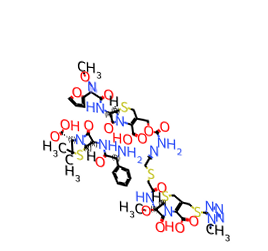 CC1(C)S[C@@H]2[C@H](NC(=O)[C@H](N)c3ccccc3)C(=O)N2[C@H]1C(=O)O.CO/N=C(/C(=O)N[C@@H]1C(=O)N2C(C(=O)O)=C(COC(N)=O)CS[C@H]12)c1ccco1.CO[C@@]1(NC(=O)CSCC#N)C(=O)N2C(C(=O)O)=C(CSc3nnnn3C)CS[C@@H]21